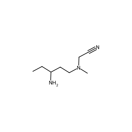 CCC(N)CCN(C)CC#N